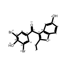 CCc1oc2ccc(O)cc2c1C(=O)c1cc(Br)c(O)c(Br)c1